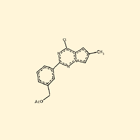 CC(=O)OCc1cccc(-c2nc(Cl)c3cc(C)cn3n2)c1